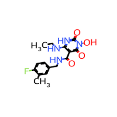 CCNc1[nH]c(=O)n(O)c(=O)c1C(=O)NCc1ccc(F)c(C)c1